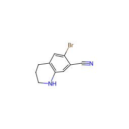 N#Cc1cc2c(cc1Br)CCCN2